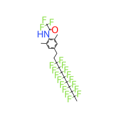 Cc1cc(CCC(F)(F)C(F)(F)C(F)(F)C(F)(F)C(F)(F)C(F)(F)C(F)(F)C(C)(F)F)cc(C)c1NC(=O)C(F)(F)F